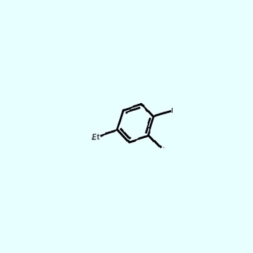 [CH2]c1cc(CC)ccc1I